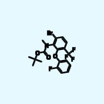 CN(C(=O)OC(C)(C)C)c1c(Br)ccc(C(F)(F)F)c1Oc1ccccc1F